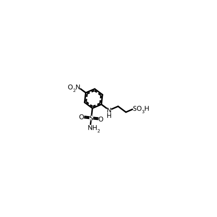 NS(=O)(=O)c1cc([N+](=O)[O-])ccc1NCCS(=O)(=O)O